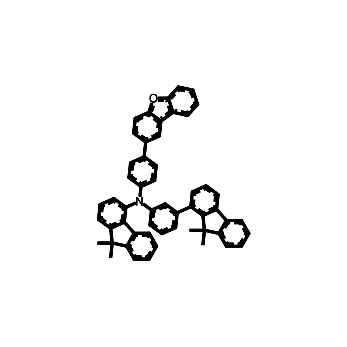 CC1(C)c2ccccc2-c2c(N(c3ccc(-c4ccc5oc6ccccc6c5c4)cc3)c3cccc(-c4cccc5c4C(C)(C)c4ccccc4-5)c3)cccc21